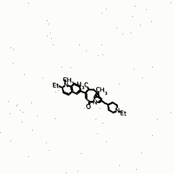 CCC1C=Cc2cc(/C3=C/C(=O)N4C=C(C5CCN(CC)CC5)C=C(C)/C4=C\CC3C)ccc2N1C